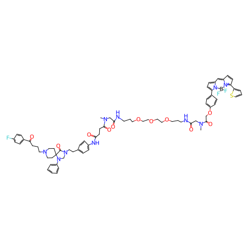 CN(CC(=O)NCCCOCCOCCOCCCNC(=O)CN(C)C(=O)COc1ccc(-c2ccc3n2[B-](F)(F)[N+]2=C(c4cccs4)C=CC2=C3)cc1)C(=O)CCC(=O)Nc1ccc(CCN2CN(c3ccccc3)C3(CCN(CCCC(=O)c4ccc(F)cc4)CC3)C2=O)cc1